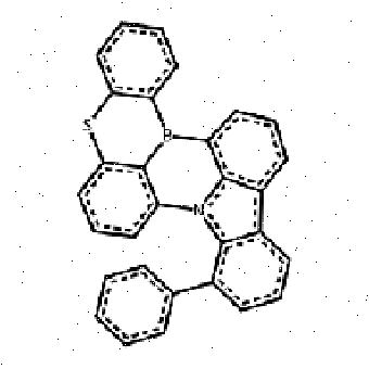 c1ccc(-c2cccc3c4cccc5c4n(c23)-c2cccc3c2B5c2ccccc2S3)cc1